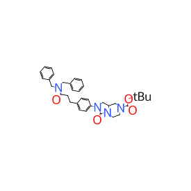 CC(C)(C)OC(=O)N1CCN2C(=O)N(c3ccc(CCC(=O)N(Cc4ccccc4)Cc4ccccc4)cc3)CC2C1